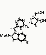 CO[C@@H]1Cc2cc(Cl)ccc2[C@H]1Nc1cc(O[C@@H]2C[C@@H](CO)[C@@H](O)C2)ncn1